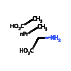 CC(=O)O.CCCC.NCC(=O)O